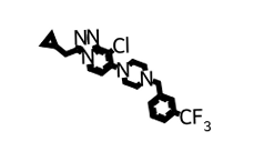 FC(F)(F)c1cccc(CN2CCN(c3ccn4c(CC5CC5)nnc4c3Cl)CC2)c1